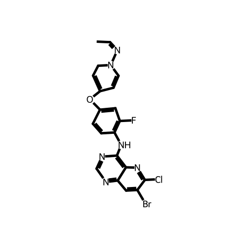 C/C=N\N1C=CC(Oc2ccc(Nc3ncnc4cc(Br)c(Cl)nc34)c(F)c2)=CC1